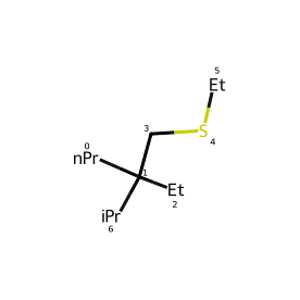 CCCC(CC)(CSCC)C(C)C